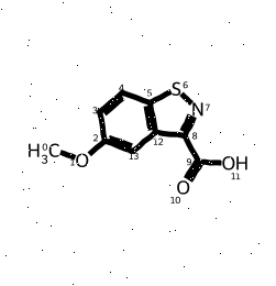 COc1ccc2snc(C(=O)O)c2c1